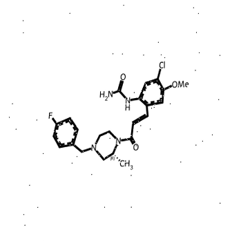 COc1cc(C=CC(=O)N2CCN(Cc3ccc(F)cc3)C[C@H]2C)c(NC(N)=O)cc1Cl